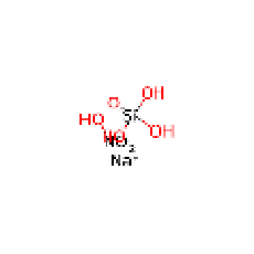 O=[N+]([O-])O.[Na+].[O-][Si](O)(O)O